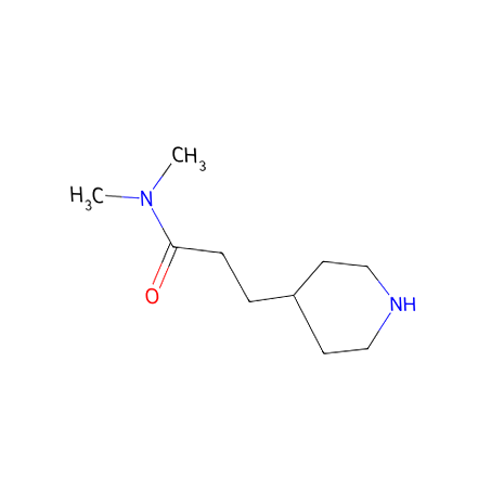 CN(C)C(=O)CCC1CCNCC1